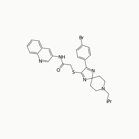 CC(C)CN1CCC2(CC1)N=C(SCC(=O)Nc1cnc3ccccc3c1)C(c1ccc(Br)cc1)=N2